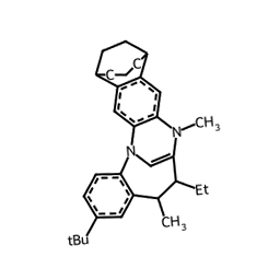 CCC1C2=CN(c3ccc(C(C)(C)C)cc3C1C)c1cc3c(cc1N2C)C1CCCC3CC1